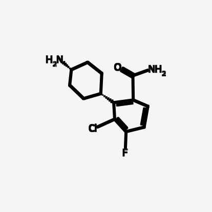 NC(=O)c1ccc(F)c(Cl)c1[C@H]1CC[C@@H](N)CC1